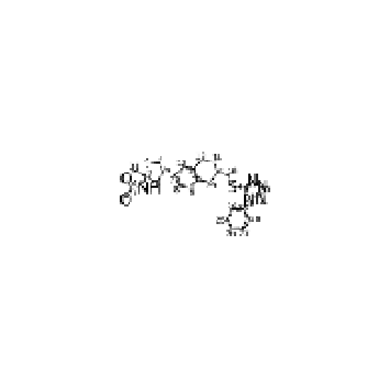 O=C1N[C@@]2(CC[C@H](c3ccc4c(c3)CCC(CSc3nnnn3-c3ccccc3)C4)C2)CO1